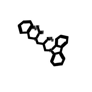 NNN(Cc1ccccc1)CC(N)Cn1c2ccccc2c2ccccc21